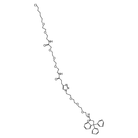 O=C(CCc1cn(CCOCCOCCOCCNC(=O)CC(c2ccccc2)(c2ccccc2)c2ccccc2)nn1)NCCOCCOCCOCC(=O)NCCOCCOCCCCCCCl